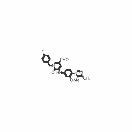 COc1cc(Nc2cc(C=O)cn(Cc3ccc(F)cc3)c2=O)ccc1-n1cnc(C)c1